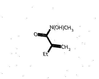 C=C(CC)C(=O)N(C)O